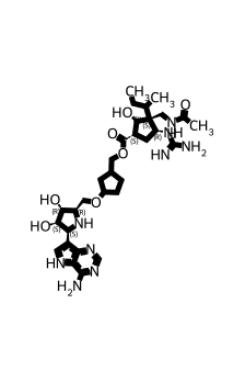 CCC(C)[C@@]1(CNC(C)=O)[C@H](O)[C@@H](C(=O)OCC2CCC(OC[C@H]3N[C@@H](c4c[nH]c5c(N)ncnc45)[C@H](O)[C@@H]3O)C2)C[C@H]1NC(=N)N